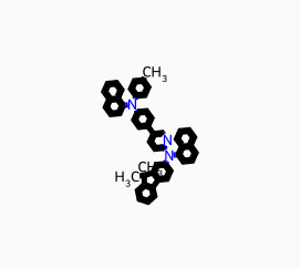 Cc1ccc(N(c2ccc(-c3ccc(N(c4ccc5c(c4)C(C)(C)c4ccccc4-5)c4cccc5ccccc45)nc3)cc2)c2cccc3ccccc23)cc1